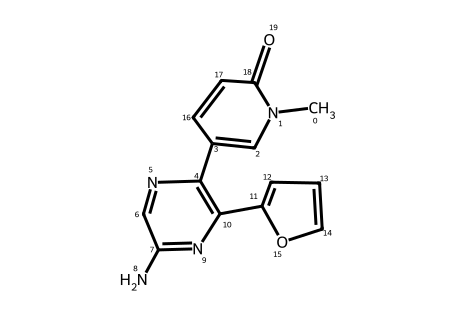 Cn1cc(-c2ncc(N)nc2-c2ccco2)ccc1=O